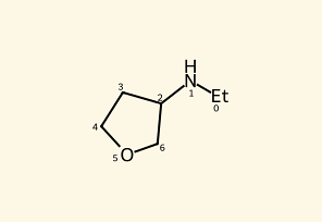 CCNC1CCOC1